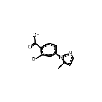 Cc1ccnn1-c1ccc(C(=O)O)c(Cl)c1